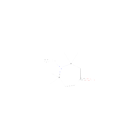 CON1C(C)(C)CCC(=O)CC1(C)C